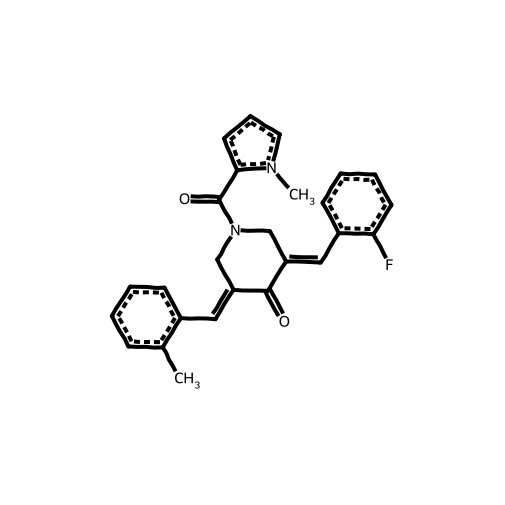 Cc1ccccc1/C=C1\CN(C(=O)c2cccn2C)C/C(=C\c2ccccc2F)C1=O